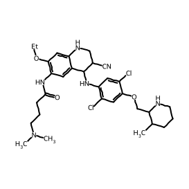 CCOc1cc2c(cc1NC(=O)CCCN(C)C)C(Nc1cc(Cl)c(OCC3NCCCC3C)cc1Cl)C(C#N)CN2